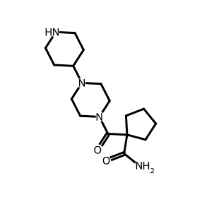 NC(=O)C1(C(=O)N2CCN(C3CCNCC3)CC2)CCCC1